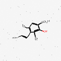 CCCCCCCCCCC=Cc1c(CC)cc(S(=O)(=O)O)c(O)c1CC